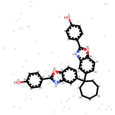 Oc1ccc(-c2nc3cc(C4(c5ccc6oc(-c7ccc(O)cc7)nc6c5)CCCCCC4)ccc3o2)cc1